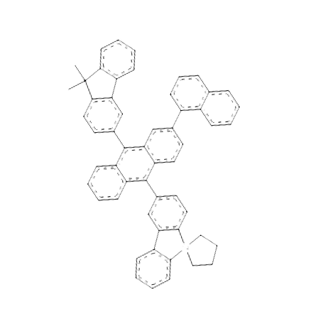 CC1(C)c2ccccc2-c2cc(-c3c4ccccc4c(-c4ccc5c(c4)-c4ccccc4[Si]54CCCC4)c4ccc(-c5cccc6ccccc56)cc34)ccc21